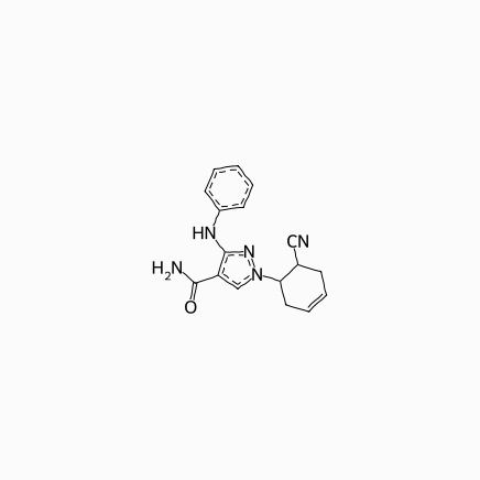 N#CC1CC=CCC1n1cc(C(N)=O)c(Nc2ccccc2)n1